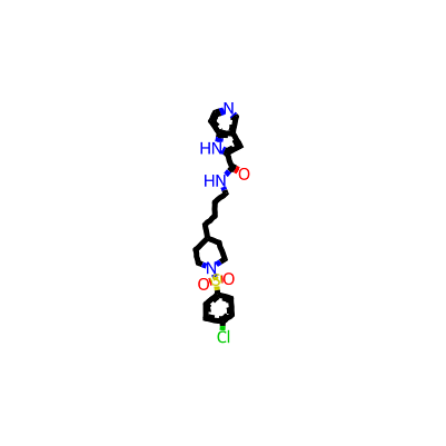 O=C(NCCCCC1CCN(S(=O)(=O)c2ccc(Cl)cc2)CC1)c1cc2cnccc2[nH]1